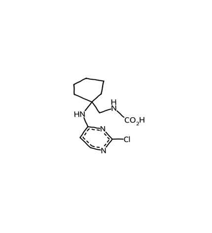 O=C(O)NCC1(Nc2ccnc(Cl)n2)CCCCC1